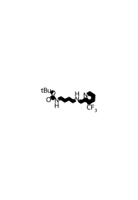 CC(C)(C)OC(=O)NCCCCNCc1ncccc1C(F)(F)F